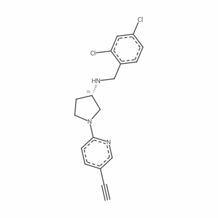 C#Cc1ccc(N2CC[C@H](NCc3ccc(Cl)cc3Cl)C2)nc1